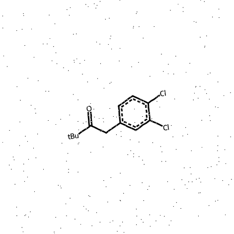 CC(C)(C)C(=O)Cc1ccc(Cl)c(Cl)c1